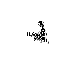 CCOc1cc([C@@H](CS(C)(=O)=O)N2C(=O)c3ccc(N4CCC5(CC4)OCCO5)cc3C2=O)ccc1OC